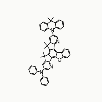 CC1(C)c2ccccc2N(c2cnc3c(c2)C(C)(C)c2c4c(c5oc6ccccc6c5c2-3)-c2ncc(N(c3ccccc3)c3ccccc3)cc2C4(C)C)c2ccccc21